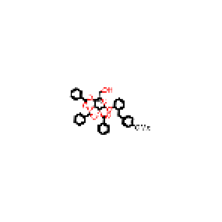 COc1ccc(Cc2ccccc2O[C@@H]2O[C@H](CO)[C@@H](OC(=O)c3ccccc3)[C@H](OC(=O)c3ccccc3)[C@H]2OC(=O)c2ccccc2)cc1